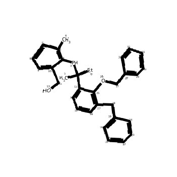 CCC(C)(Pc1c(C)cccc1CO)c1cccc(Cc2ccccc2)c1OCc1ccccc1